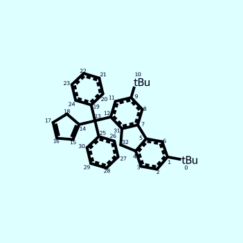 CC(C)(C)c1ccc2c(c1)-c1cc(C(C)(C)C)cc(C(C3=CC=CC3)(c3ccccc3)c3ccccc3)c1C2